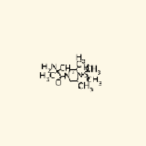 CC1CN(C(=O)C(C)(C)N)CC(C)N1[SH](C)C